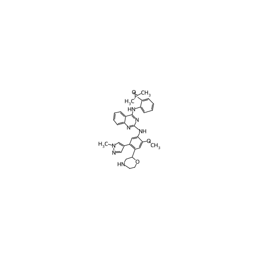 COc1cc(C2CNCCO2)c(-c2cnn(C)c2)cc1Nc1nc(Nc2ccccc2P(C)(C)=O)c2ccccc2n1